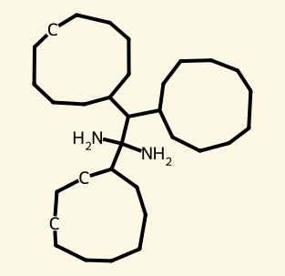 NC(N)(C1CCCCCCCCC1)C(C1CCCCCCCCC1)C1CCCCCCCCC1